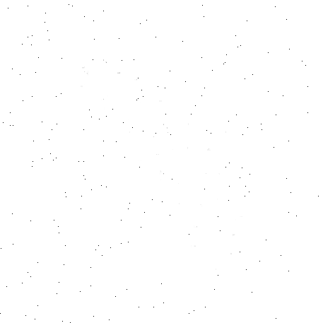 CC1(C(=O)N(CCC(=O)O)Cc2ccc3cn[nH]c3c2)CCN1C(=O)CC1CSc2ccccc21